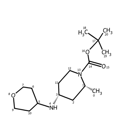 C[C@@H]1C[C@H](NC2CCOCC2)CCN1C(=O)OC(C)(C)C